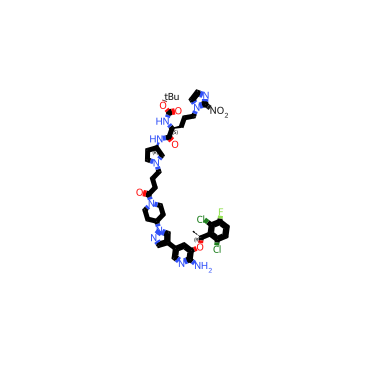 C[C@@H](Oc1cc(-c2cnn(C3CCN(C(=O)CCCN4CC[C@@H](NC(=O)[C@H](CCCn5ccnc5[N+](=O)[O-])NC(=O)OC(C)(C)C)C4)CC3)c2)cnc1N)c1c(Cl)ccc(F)c1Cl